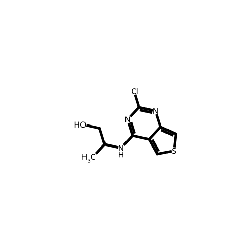 CC(CO)Nc1nc(Cl)nc2cscc12